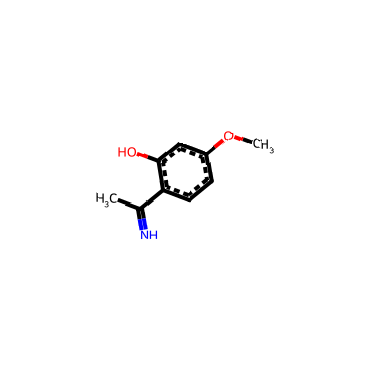 COc1ccc(C(C)=N)c(O)c1